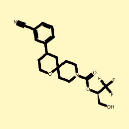 N#Cc1cccc(C2CCOC3(CCN(C(=O)O[C@H](CO)C(F)(F)F)CC3)C2)c1